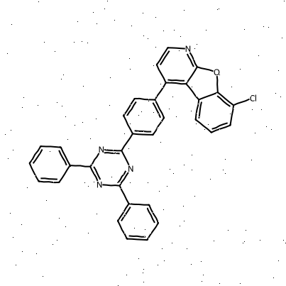 Clc1cccc2c1oc1nccc(-c3ccc(-c4nc(-c5ccccc5)nc(-c5ccccc5)n4)cc3)c12